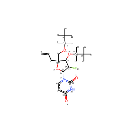 C=CC[C@]1(CO[Si](C)(C)C(C)(C)C)O[C@@H](n2ccc(=O)[nH]c2=O)[C@H](F)C1O[Si](C)(C)C(C)(C)C